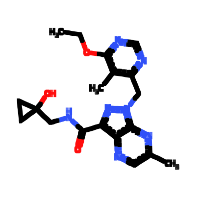 CCOc1ncnc(Cn2nc(C(=O)NCC3(O)CC3)c3ncc(C)nc32)c1C